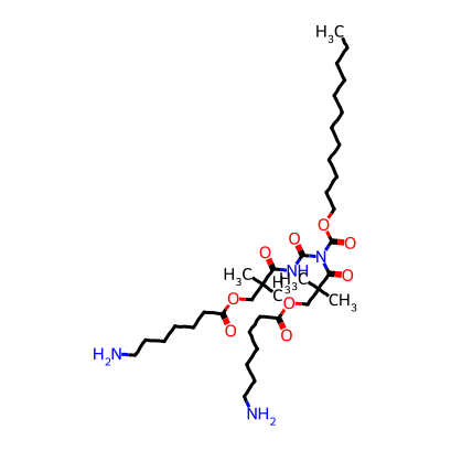 CCCCCCCCCCCCOC(=O)N(C(=O)NC(=O)C(C)(C)COC(=O)CCCCCCN)C(=O)C(C)(C)COC(=O)CCCCCCN